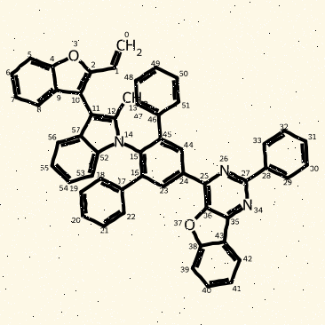 C=Cc1oc2ccccc2c1-c1c(C)n(-c2c(-c3ccccc3)cc(-c3nc(-c4ccccc4)nc4c3oc3ccccc34)cc2-c2ccccc2)c2ccccc12